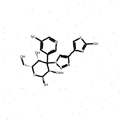 CO[C@H]1[C@@H](S)O[C@H](CO)[C@H](O)C1(c1cncc(C#N)c1)n1cc(-c2csc(O)n2)nn1